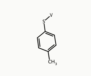 Cc1ccc([S][V])cc1